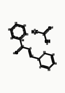 CC(=O)O.O=C(C=CC1C=CC=CC1)c1ccccc1